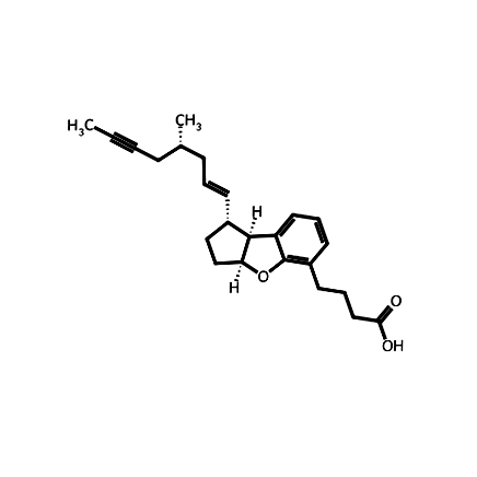 CC#CC[C@H](C)C/C=C/[C@H]1CC[C@@H]2Oc3c(CCCC(=O)O)cccc3[C@@H]21